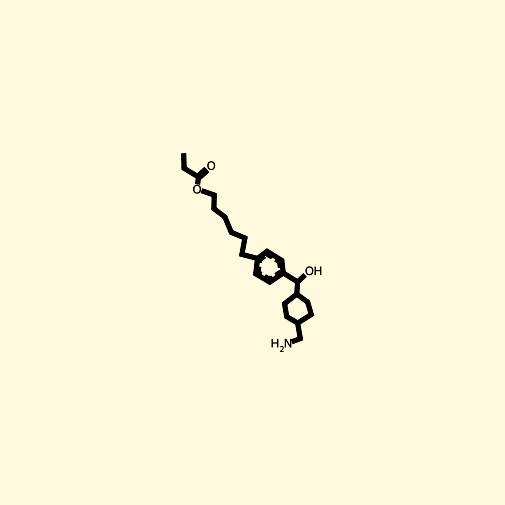 CCC(=O)OCCCCCCc1ccc(C(O)C2CCC(CN)CC2)cc1